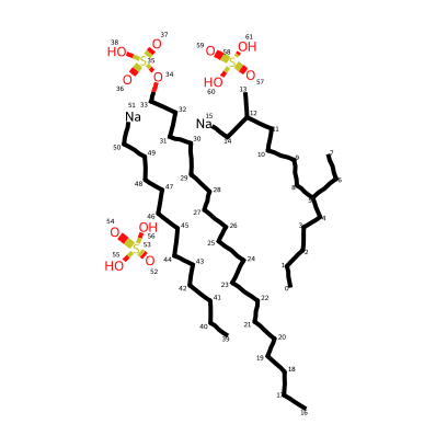 CCCCCC(CC)CCCCC(C)[CH2][Na].CCCCCCCCCCCCCCCCCCOS(=O)(=O)O.CCCCCCCCCCC[CH2][Na].O=S(=O)(O)O.O=S(=O)(O)O